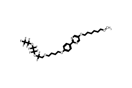 COCCCCCCOc1cnc(-c2ccc(OCCCCOCC(F)(F)OC(F)(F)C(F)(F)OC(F)(F)C(F)(F)F)cc2)nc1